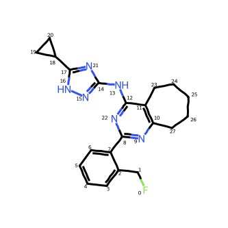 FCc1ccccc1-c1nc2c(c(Nc3n[nH]c(C4CC4)n3)n1)CCCCC2